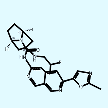 Cc1ncc(-c2cc3cc(NC(=O)N4[C@@H]5CC[C@H]4C[C@@H](NCC(F)F)C5)ncc3cn2)o1